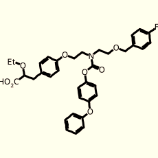 CCOC(Cc1ccc(OCCN(CCOCc2ccc(F)cc2)C(=O)Oc2ccc(Oc3ccccc3)cc2)cc1)C(=O)O